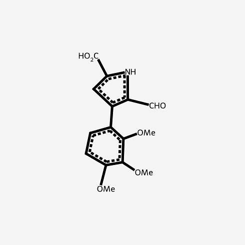 COc1ccc(-c2cc(C(=O)O)[nH]c2C=O)c(OC)c1OC